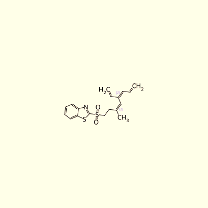 C=C/C=C(C=C)\C=C(\C)CCS(=O)(=O)c1nc2ccccc2s1